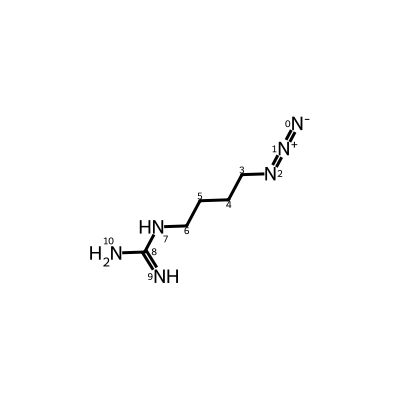 [N-]=[N+]=NCCCCNC(=N)N